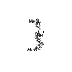 COc1ccc(CCNC(=O)NC(=O)c2ccc(C(=O)c3ccc(OC)cc3)cc2)cc1